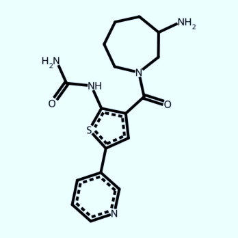 NC(=O)Nc1sc(-c2cccnc2)cc1C(=O)N1CCCCC(N)C1